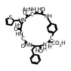 CC(=O)N[C@H]1CC(=O)N[C@H](CC2CC=CS2)C(=O)NCC(=O)N[C@H](Cc2ccccc2)C(=O)N[C@H](C(=O)O)Cc2ccc(cc2)NC1=O